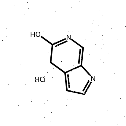 Cl.OC1=NC=C2N=CC=C2C1